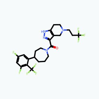 O=C(c1n[nH]c2c1CN(CCC(F)(F)F)CC2)N1CCCC(c2cc(F)cc(F)c2C(F)(F)F)CC1